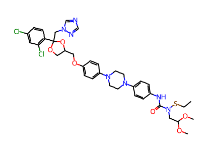 CCSN(CC(OC)OC)C(=O)Nc1ccc(N2CCN(c3ccc(OCC4COC(Cn5cncn5)(c5ccc(Cl)cc5Cl)O4)cc3)CC2)cc1